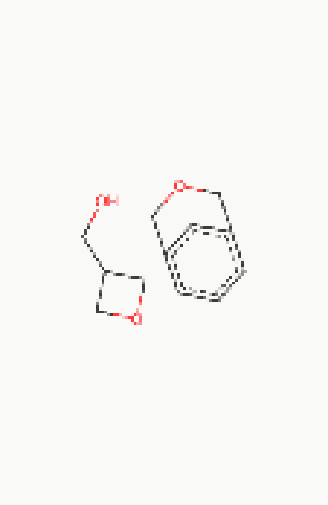 OCC1COC1.c1cc2cc(c1)COC2